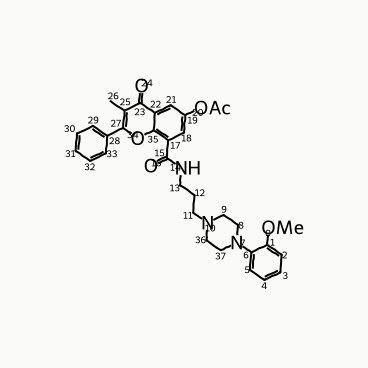 COc1ccccc1N1CCN(CCCNC(=O)c2cc(OC(C)=O)cc3c(=O)c(C)c(-c4ccccc4)oc23)CC1